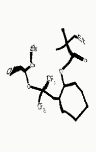 CCC(C)(C)C(=O)OC1CCCCC1C(OC(=O)OC(C)(C)C)(C(F)(F)F)C(F)(F)F